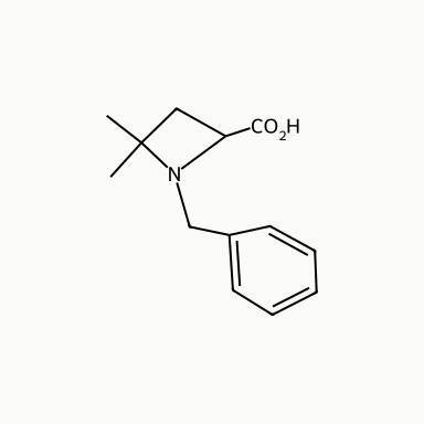 CC1(C)CC(C(=O)O)N1Cc1ccccc1